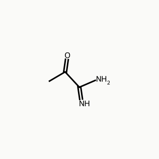 CC(=O)C(=N)N